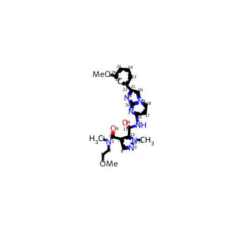 COCCN(C)C(=O)c1cnn(C)c1C(=O)Nc1ccn2cc(-c3cccc(OC)c3)nc2n1